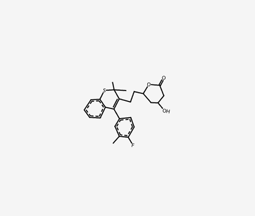 Cc1cc(C2=C(CCC3CC(O)CC(=O)O3)C(C)(C)Sc3ccccc32)ccc1F